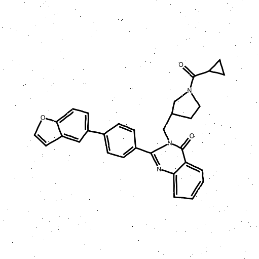 O=C(C1CC1)N1CCC(Cn2c(-c3ccc(-c4ccc5occc5c4)cc3)nc3ccccc3c2=O)C1